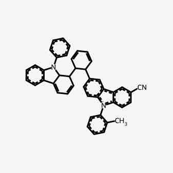 Cc1ccccc1-n1c2ccc(C#N)cc2c2cc(C3C=CC=CC3C3C=CC=C4c5ccccc5N(c5ccccc5)C43)ccc21